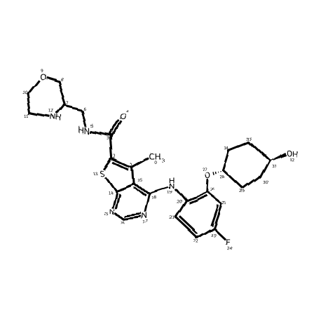 Cc1c(C(=O)NCC2COCCN2)sc2ncnc(Nc3ccc(F)cc3O[C@H]3CC[C@H](O)CC3)c12